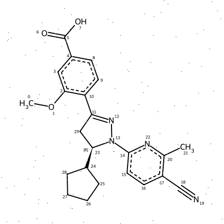 COc1cc(C(=O)O)ccc1C1=NN(c2ccc(C#N)c(C)n2)[C@@H](C2CCCC2)C1